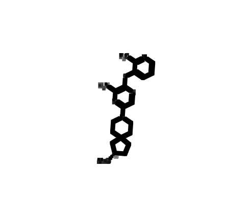 CO[C@H]1CCC2(CCN(c3cnc(Sc4cccnc4C(F)(F)F)c(N)n3)CC2)C1